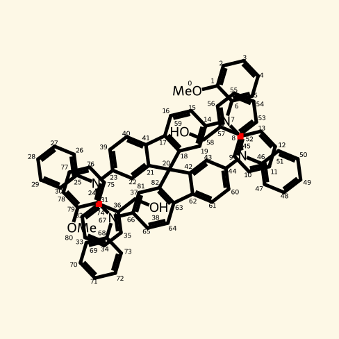 COc1ccccc1N(c1ccccc1)c1ccc2c(c1)C1(c3cc(N(c4ccccc4)c4ccccc4CO)ccc3-2)c2cc(N(c3ccccc3)c3ccccc3CO)ccc2-c2ccc(N(c3ccccc3)c3ccccc3OC)cc21